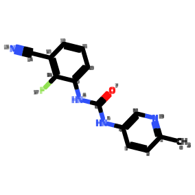 Cc1ccc(NC(=O)Nc2cccc(C#N)c2F)cn1